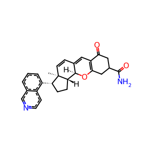 C[C@]12C=CC3=CC4=C(CC(C(N)=O)CC4=O)O[C@H]3[C@@H]1CC[C@@H]2c1cccc2cnccc12